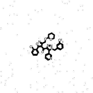 O=C(c1nnn(Cc2cccc(C(F)(F)F)c2)c1-c1cccnc1)c1c(COC2CCCCO2)noc1-c1ccccc1Cl